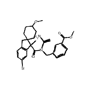 C=C(N)N(Cc1cccc(C(=O)OC)c1)C(=O)C1(C)c2cc(Br)ccc2CC12CCC(OC)CC2